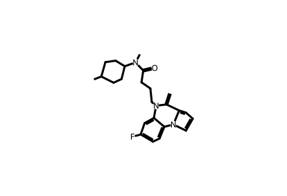 C=C1c2cccn2-c2ccc(F)cc2N1CCCC(=O)N(C)C1CCC(C)CC1